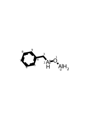 [AlH2][O][AlH][CH2]c1ccccc1